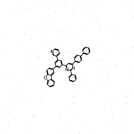 c1ccc(-c2ccc(-c3cc(-c4cc(-c5cccnc5)cc(-c5ccc6oc7ccccc7c6c5)c4)nc(-c4ccccc4)n3)cc2)cc1